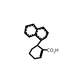 O=C(O)C1=CCCCC1c1cccc2ccccc12